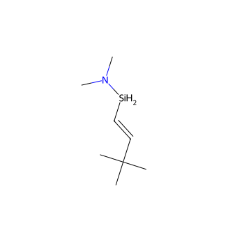 CN(C)[SiH2]C=CC(C)(C)C